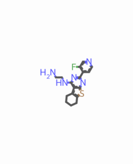 NCCNc1nc(-c2ccncc2F)nc2sc3c(c12)CCCC3